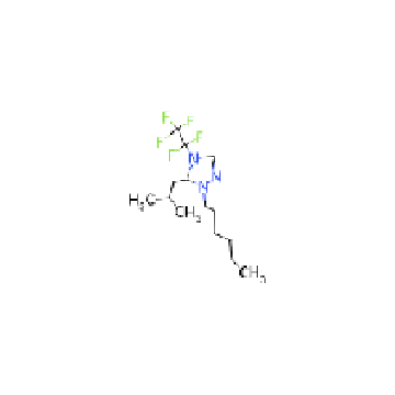 CCCCCCN1N=CN(C(F)(F)C(F)(F)F)C1CC(C)C